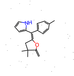 C=C1OC(=C(c2ccc(C)cc2)c2ccc[nH]2)CC1(C)C